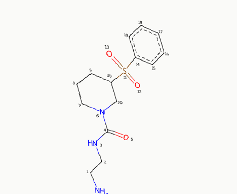 NCCNC(=O)N1CCCC(S(=O)(=O)c2ccccc2)C1